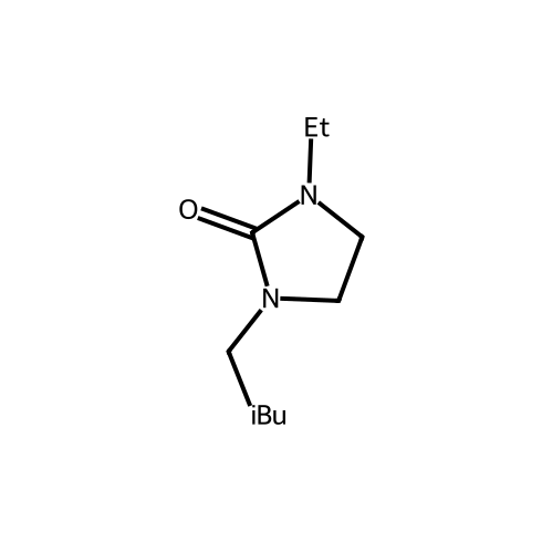 CCC(C)CN1CCN(CC)C1=O